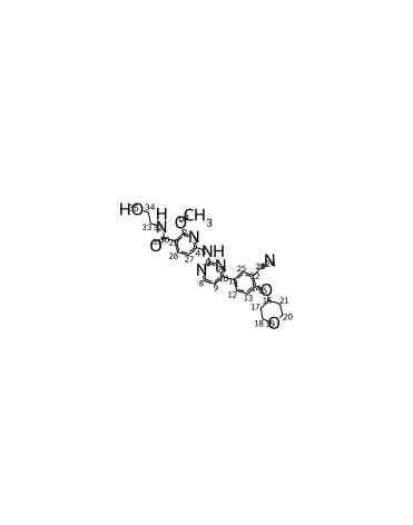 COc1nc(Nc2nccc(-c3ccc(OC4CCOCC4)c(C#N)c3)n2)ccc1C(=O)NCCO